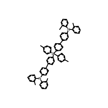 Cc1ccc([Si](c2ccc(C)cc2)(c2ccc(-c3ccc(N(c4ccccc4C)c4ccccc4C)cc3)cc2)c2ccc(-c3ccc(N(c4ccccc4C)c4ccccc4C)cc3)cc2)cc1